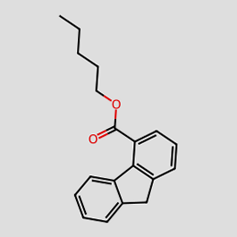 CCCCCOC(=O)c1cccc2c1-c1ccccc1C2